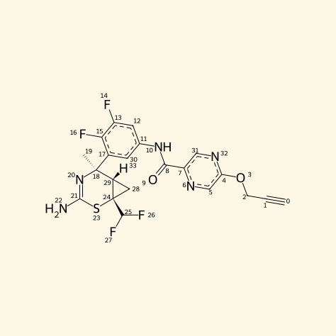 C#CCOc1cnc(C(=O)Nc2cc(F)c(F)c([C@]3(C)N=C(N)S[C@@]4(C(F)F)C[C@@H]34)c2)cn1